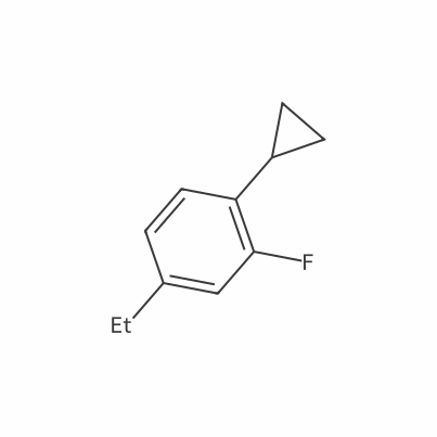 CCc1ccc(C2CC2)c(F)c1